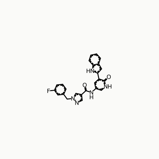 O=C(Nc1c[nH]c(=O)c(-c2cc3ccccc3[nH]2)c1)c1cnn(Cc2cccc(F)c2)c1